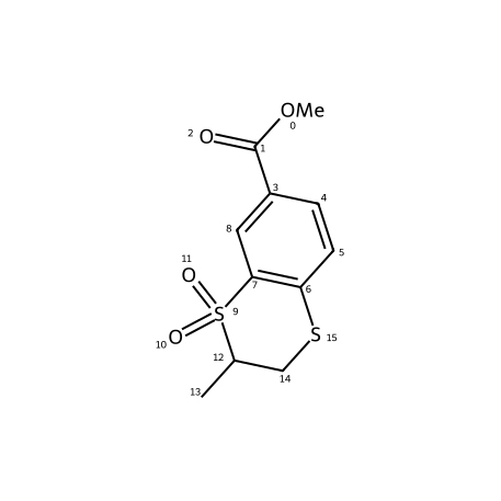 COC(=O)c1ccc2c(c1)S(=O)(=O)C(C)CS2